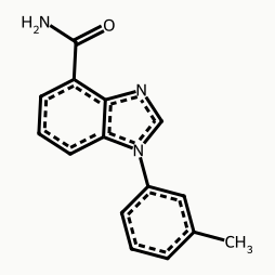 Cc1cccc(-n2cnc3c(C(N)=O)cccc32)c1